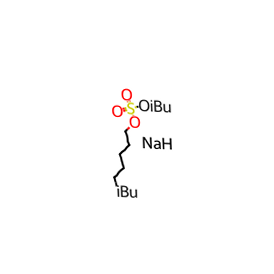 CCC(C)CCCCCOS(=O)(=O)OCC(C)C.[NaH]